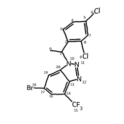 CC(c1ccc(Cl)cc1Cl)n1nnc2c(C(F)(F)F)cc(Br)cc21